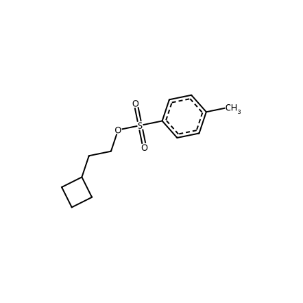 Cc1ccc(S(=O)(=O)OCCC2CCC2)cc1